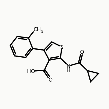 Cc1ccccc1-c1csc(NC(=O)C2CC2)c1C(=O)O